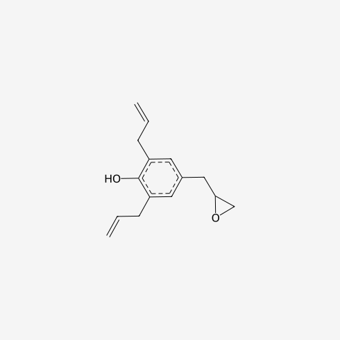 C=CCc1cc(CC2CO2)cc(CC=C)c1O